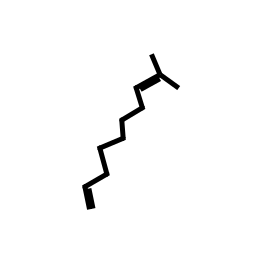 C=CCCCCCC=C(C)C